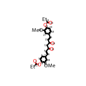 CCC(=O)Oc1ccc(/C=C/C(=O)CC(=O)/C=C/c2ccc(OC(=O)CC)c(OC)c2)cc1OC